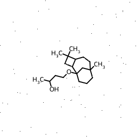 CC(O)CCOC12CCCC(C)(CCC3C1CC3(C)C)C2